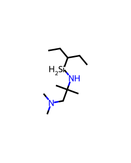 CCC(CC)[SiH2]NC(C)(C)CN(C)C